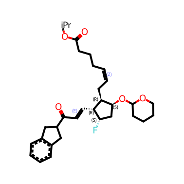 CC(C)OC(=O)CCC/C=C\C[C@@H]1[C@@H](/C=C/C(=O)C2Cc3ccccc3C2)[C@@H](F)C[C@@H]1OC1CCCCO1